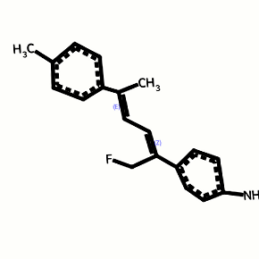 C/C(=C\C=C(/CF)c1ccc(N)cc1)c1ccc(C)cc1